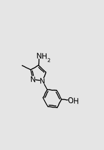 Cc1nn(-c2cccc(O)c2)cc1N